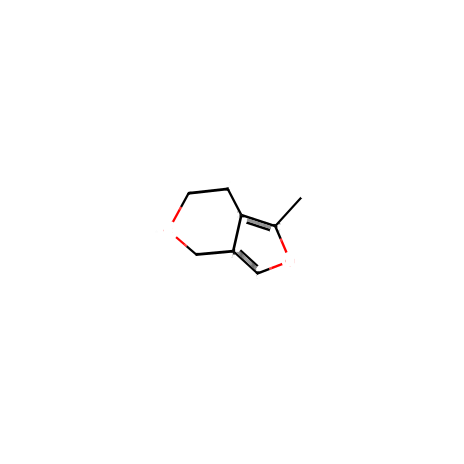 Cc1occ2c1CCOC2